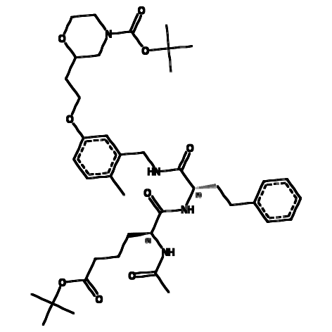 CC(=O)N[C@@H](CCCC(=O)OC(C)(C)C)C(=O)N[C@@H](CCc1ccccc1)C(=O)NCc1cc(OCCC2CN(C(=O)OC(C)(C)C)CCO2)ccc1C